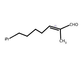 C/C(C=O)=C\CCCCC(C)C